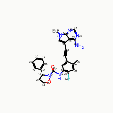 CCn1cc(C#Cc2cc(NC(=O)N3OCC[C@@H]3c3ccccc3)c(F)cc2C)c2c(N)ncnc21